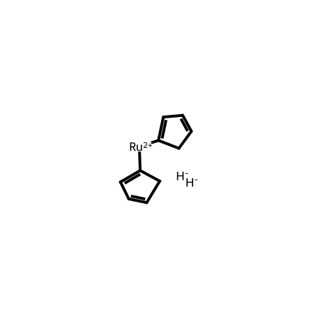 C1=CC[C]([Ru+2][C]2=CC=CC2)=C1.[H-].[H-]